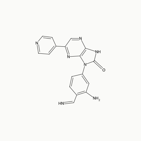 N=Cc1ccc(-n2c(=O)[nH]c3ncc(-c4ccncc4)nc32)cc1N